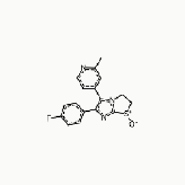 Cc1cc(-c2c(-c3ccc(F)cc3)nc3n2CC[S+]3[O-])ccn1